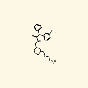 O=C(O)COCC1CCCC(CNC(=O)N(c2ccccc2)c2cccc(C(F)(F)F)c2)C1